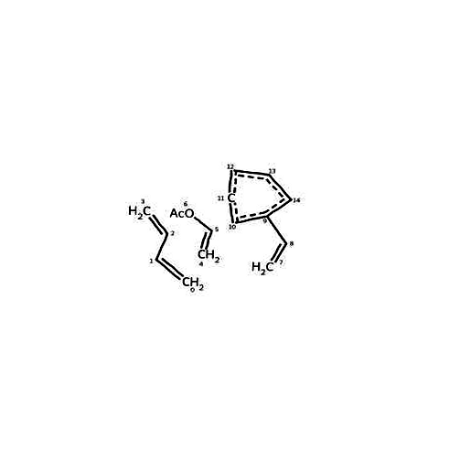 C=CC=C.C=COC(C)=O.C=Cc1ccccc1